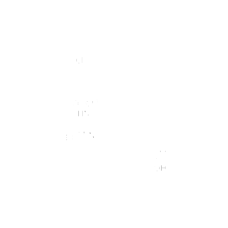 CON=C(CNS(=O)(=O)c1ccc(Cl)cc1)c1ccc(CCC(=O)O)cc1